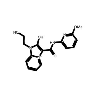 COc1cccc(NC(=O)c2c(O)n(CCC#N)c3cccc[n+]23)n1